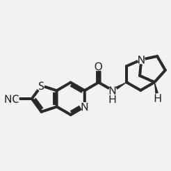 N#Cc1cc2cnc(C(=O)N[C@@H]3C[C@H]4CCN(C4)C3)cc2s1